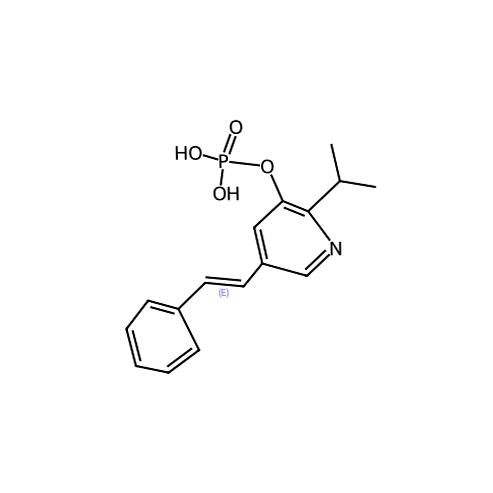 CC(C)c1ncc(/C=C/c2ccccc2)cc1OP(=O)(O)O